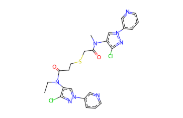 CCN(C(=O)CCSCC(=O)N(C)c1cn(-c2cccnc2)nc1Cl)c1cn(-c2cccnc2)nc1Cl